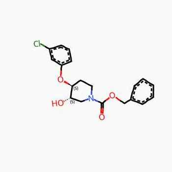 O=C(OCc1ccccc1)N1CC[C@H](Oc2cccc(Cl)c2)[C@@H](O)C1